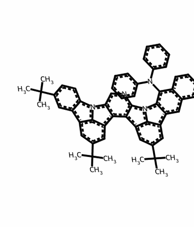 CC(C)(C)c1ccc2c(c1)c1cc(C(C)(C)C)cc3c4c5c6cc(C(C)(C)C)cc7c8cc9ccccc9c(N(c9ccccc9)c9ccccc9)c8n(c5ncc4n2c13)c76